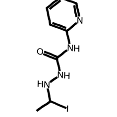 CC(I)NNC(=O)Nc1ccccn1